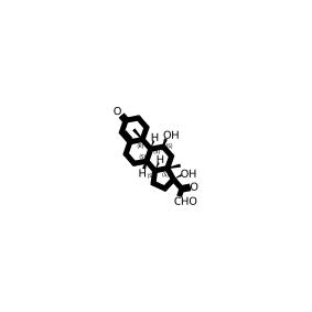 C[C@]12CCC(=O)C=C1CC[C@@H]1[C@@H]2[C@@H](O)C[C@@]2(C)[C@H]1CC[C@]2(O)C(=O)C=O